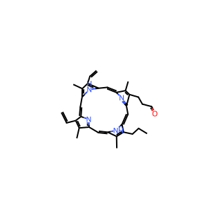 C=CC1=C(C)c2cc3[nH]c(cc4nc(cc5[nH]c(cc1n2)c(C)c5C=C)C(C)=C4CCC=O)c(CCC)c3C